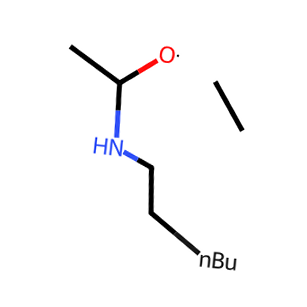 CC.CCCCCCNC(C)[O]